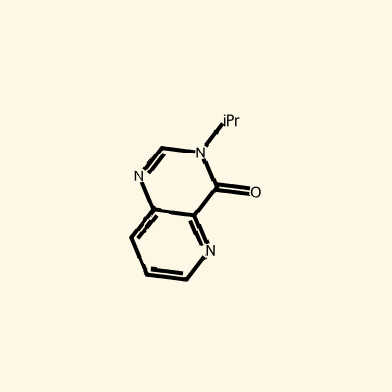 CC(C)n1cnc2cccnc2c1=O